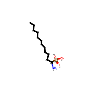 CCCCCCCCCCCC(N)S(=O)(=O)O